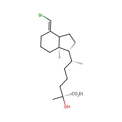 CCOC(=O)[C@@](C)(O)CCC[C@@H](C)[C@H]1CCC2/C(=C/Br)CCC[C@@]21C